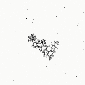 CCCC1(CCC=O)CC(C2=NS(=O)(=O)c3cc(NS(N)(=O)=O)ccc3N2)=C(O)c2cc(F)ccc21